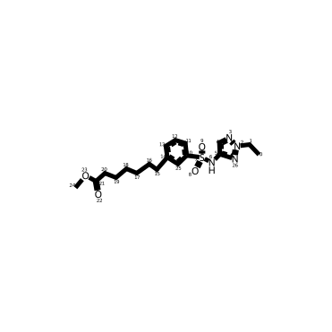 CCn1ncc(NS(=O)(=O)c2cccc(CCCCCCC(=O)OC)c2)n1